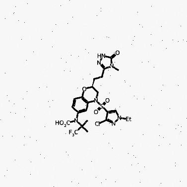 CCn1cc(S(=O)(=O)N2C[C@H](CCc3n[nH]c(=O)n3C)Oc3ccc(N(C(=O)O)C(C)(C)C(F)(F)F)cc32)c(Cl)n1